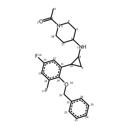 CC(=O)N1CCC(NC2CC2c2cc(F)cc(F)c2OCc2ccccc2)CC1